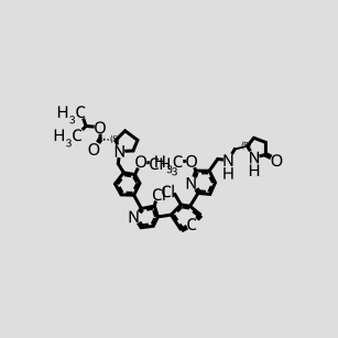 COc1cc(-c2nccc(-c3cccc(-c4ccc(CNC[C@H]5CCC(=O)N5)c(OC)n4)c3Cl)c2Cl)ccc1CN1CCC[C@H]1C(=O)OC(C)C